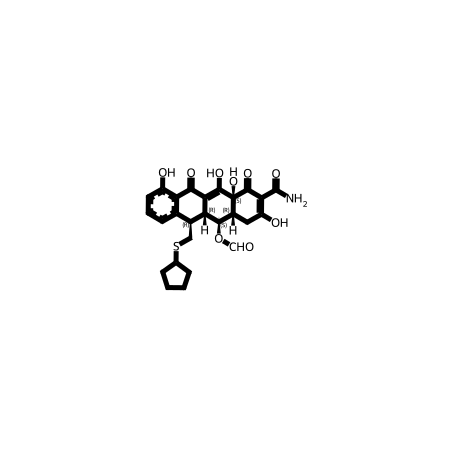 NC(=O)C1=C(O)C[C@@H]2[C@@H](OC=O)[C@H]3C(=C(O)[C@]2(O)C1=O)C(=O)c1c(O)cccc1[C@@H]3CSC1CCCC1